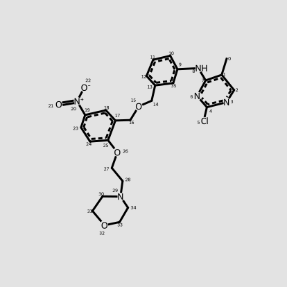 Cc1cnc(Cl)nc1Nc1cccc(COCc2cc([N+](=O)[O-])ccc2OCCN2CCOCC2)c1